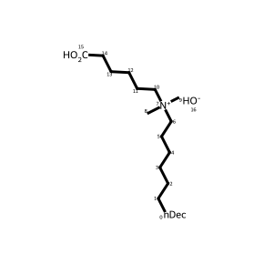 CCCCCCCCCCCCCCCC[N+](C)(C)CCCCCC(=O)O.[OH-]